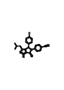 CC(C)Cc1n[nH]c2c1C(c1ccc(F)cc1)N(c1ccc(C#N)cc1)C2=O